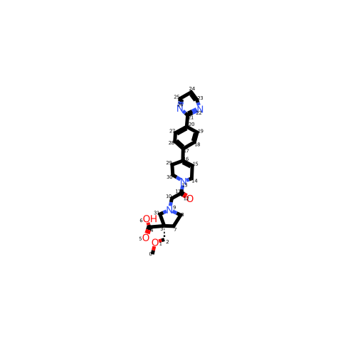 COC[C@@]1(C(=O)O)CCN(CC(=O)N2CC=C(c3ccc(-c4ncccn4)cc3)CC2)C1